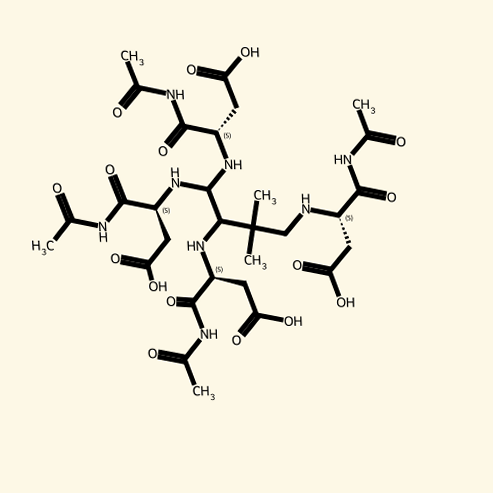 CC(=O)NC(=O)[C@H](CC(=O)O)NCC(C)(C)C(N[C@@H](CC(=O)O)C(=O)NC(C)=O)C(N[C@@H](CC(=O)O)C(=O)NC(C)=O)N[C@@H](CC(=O)O)C(=O)NC(C)=O